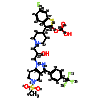 CS(=O)(=O)N1CCc2c(c(-c3ccc(C(F)(F)F)cc3)nn2CC(O)CN2CCC(c3c(OC(=O)O)sc4cc(F)ccc34)CC2)C1